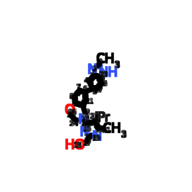 Cc1nc2cc(-c3ccc4c(c3)CN(c3nc(CO)nc(C)c3C(C)C)CCO4)ccc2[nH]1